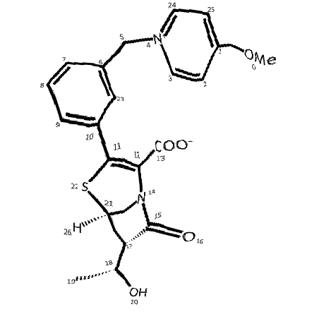 COc1cc[n+](Cc2cccc(C3=C(C(=O)[O-])N4C(=O)[C@H]([C@@H](C)O)[C@H]4S3)c2)cc1